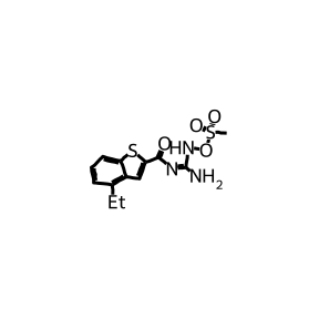 CCc1cccc2sc(C(=O)N=C(N)NOS(C)(=O)=O)cc12